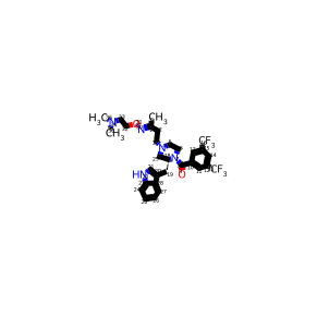 CC(CCN1CCN(C(=O)c2cc(C(F)(F)F)cc(C(F)(F)F)c2)[C@H](Cc2c[nH]c3ccccc23)C1)=NOCCN(C)C